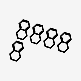 c1ccc2c(c1)CCCC2.c1ccc2c(c1)CCCC2.c1ccc2c(c1)CCCC2.c1ccc2c(c1)CCCC2.c1ccc2c(c1)CCCC2